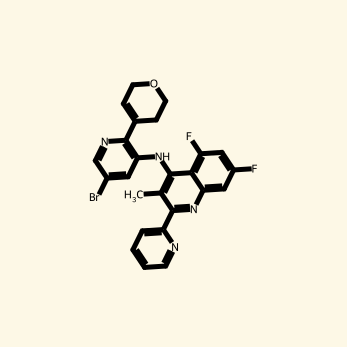 Cc1c(-c2ccccn2)nc2cc(F)cc(F)c2c1Nc1cc(Br)cnc1C1=CCOCC1